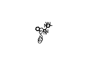 Cc1cc(-c2nn(C)cc2Cc2ccccc2OCCN2CCOCC2)nc(C)n1